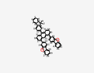 CC1(C)c2ccccc2-c2ccc(-c3c4cccc(-c5ccc6c(c5)oc5ccccc56)c4cc4c(-c5ccc6c(c5)oc5ccccc56)cccc34)cc21